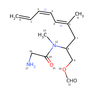 C=C/C=C\C=C(/C)CC(COC=O)N(C)C(=O)CN